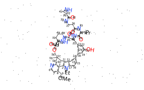 CCn1c(-c2cnccc2COC)c2c3cc(ccc31)-c1cc(O)cc(c1)C[C@H](NC(=O)[C@H](C(C)C)N(C)C(=O)CCN(C)C(=O)[C@H]1CN1)C(=O)N1CCC[C@H](N1)C(=O)OCC(C)(C)C2